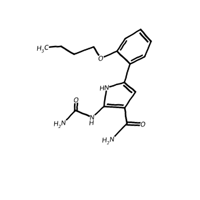 CCCCOc1ccccc1-c1cc(C(N)=O)c(NC(N)=O)[nH]1